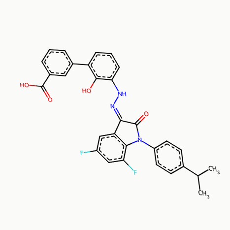 CC(C)c1ccc(N2C(=O)C(=NNc3cccc(-c4cccc(C(=O)O)c4)c3O)c3cc(F)cc(F)c32)cc1